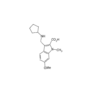 COc1ccc2c(CNC3CCCC3)c(C(=O)O)n(C)c2c1